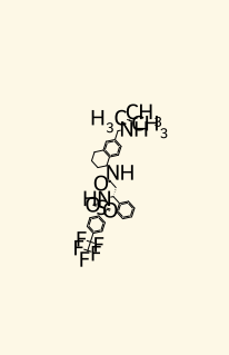 CC(C)(C)NCc1ccc2c(c1)CCC[C@H]2NC(=O)C[C@@H](NS(=O)(=O)c1ccc(C(F)(F)C(F)(F)F)cc1)c1ccccc1